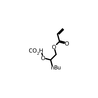 C=CC(=O)OCC(CCCC)OC(=O)O